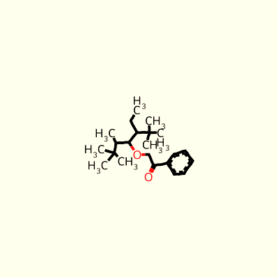 CCC(C(OCC(=O)c1ccccc1)C(C)C(C)(C)C)C(C)(C)C